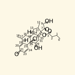 CCCC(=O)O[C@]1(C(=O)CO)C(C)C[C@H]2[C@@H]3CC(C)C4=CC(=O)C=C[C@]4(C)[C@@]3(Cl)C(O)C[C@@]21C